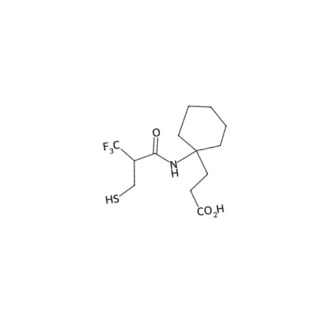 O=C(O)CCC1(NC(=O)C(CS)C(F)(F)F)CCCCC1